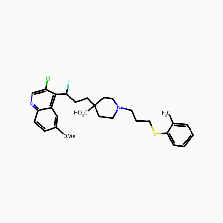 COc1ccc2ncc(Cl)c(C(F)CCC3(C(=O)O)CCN(CCCSc4ccccc4C(F)(F)F)CC3)c2c1